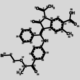 CC(=O)N1C(=O)C(=C(Nc2ccc(C(=O)N(C)OCCBr)cc2)c2ccccc2)c2cc(C)c(C(=O)O)cc21